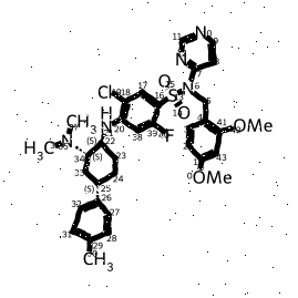 COc1ccc(CN(c2ccncn2)S(=O)(=O)c2cc(Cl)c(N[C@H]3CC[C@H](c4ccc(C)cc4)C[C@@H]3N(C)C)cc2F)c(OC)c1